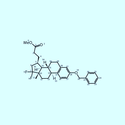 COC(=O)CC[C@@H]1CC(F)(F)[C@@]2(C)CC[C@@H]3c4ccc(OCc5ccccc5)cc4CC[C@H]3[C@H]12